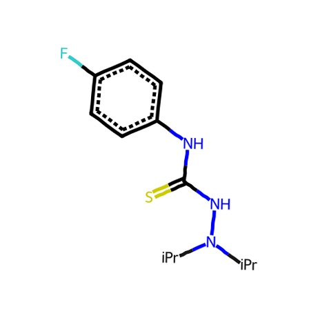 CC(C)N(NC(=S)Nc1ccc(F)cc1)C(C)C